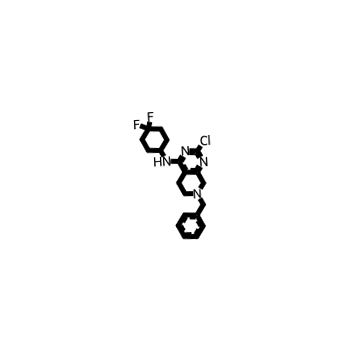 FC1(F)CCC(Nc2nc(Cl)nc3c2CCN(Cc2ccccc2)C3)CC1